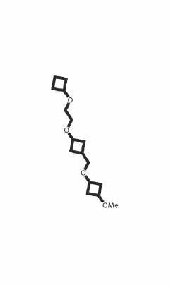 COC1CC(OCC2CC(OCCOC3CCC3)C2)C1